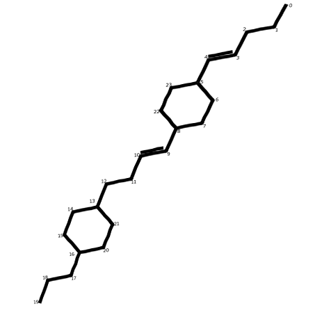 CCCC=CC1CCC(C=CCCC2CCC(CCC)CC2)CC1